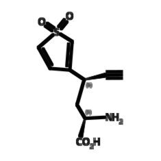 C#C[C@@H](C[C@@H](N)C(=O)O)C1=CS(=O)(=O)C=C1